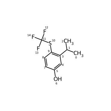 CC(C)c1cc(O)ccc1SC(F)(F)F